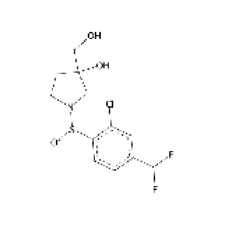 [O-][S+](c1ccc(C(F)F)cc1Cl)N1CCC(O)(CO)C1